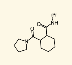 CC(C)NC(=O)C1CCCCC1C(=O)N1CCCC1